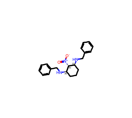 O=[N+]([O-])[C@@H]1[C@@H](NCc2ccccc2)CCC[C@H]1NCc1ccccc1